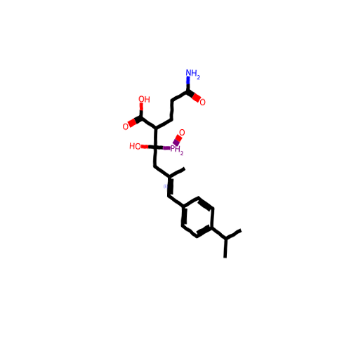 C/C(=C\c1ccc(C(C)C)cc1)CC(O)([PH2]=O)C(CCC(N)=O)C(=O)O